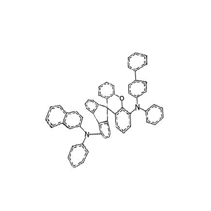 c1ccc(-c2ccc(N(c3ccccc3)c3cccc4c3Oc3ccccc3C43c4ccccc4-c4c(N(c5ccccc5)c5ccc6ccccc6c5)cccc43)cc2)cc1